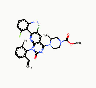 C=Cc1cccc(C(C)C)c1-n1c(=O)nc(N2CCN(C(=O)OC(C)(C)C)C[C@@H]2C)c2cc(Cl)c(-c3c(N)cccc3F)nc21